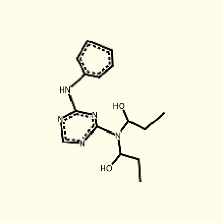 CCC(O)N(c1n[c]nc(Nc2ccccc2)n1)C(O)CC